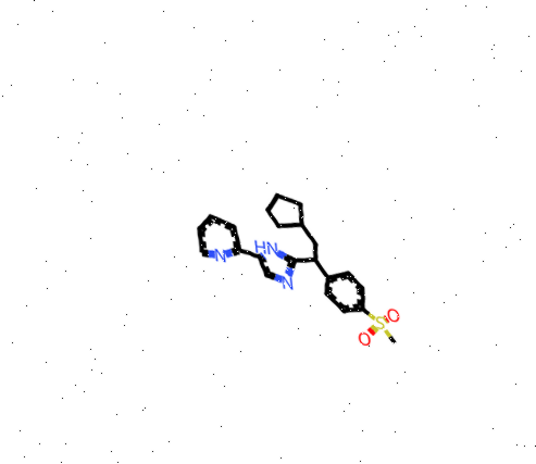 CS(=O)(=O)c1ccc(C(CC2CCCC2)c2ncc(-c3ccccn3)[nH]2)cc1